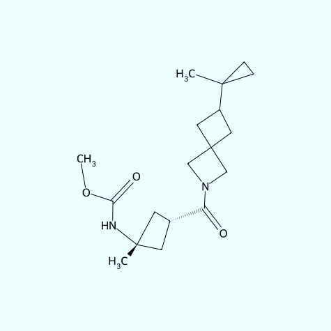 COC(=O)N[C@]1(C)C[C@H](C(=O)N2CC3(CC(C4(C)CC4)C3)C2)C1